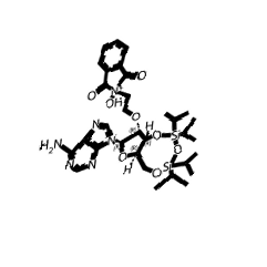 CC(C)[Si]1(C(C)C)OC[C@H]2O[C@@H](n3cnc4c(N)ncnc43)[C@H](OCC[N+]3(O)C(=O)c4ccccc4C3=O)[C@@H]2O[Si](C(C)C)(C(C)C)O1